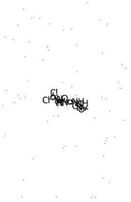 Cc1nc(C(=O)Nc2ccc(NC(=O)Nc3cc(C(C)(C)C)on3)cc2)nn1-c1cc(Cl)cc(Cl)c1